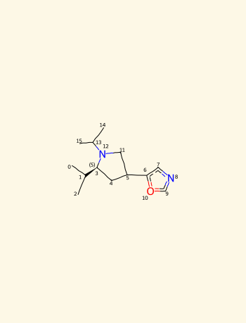 CC(C)[C@@H]1CC(c2cnco2)CN1C(C)C